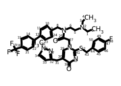 CCN(CC)CCN(Cc1ccc(-c2ccc(C(F)(F)F)cc2)cc1)C(=O)Cn1cc(Cc2ccn(C)n2)c(=O)nc1SCc1ccc(F)cc1